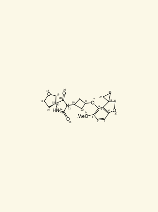 COc1ccc2c(c1OC1CC(N3C(=O)N[C@@]4(CCOC4)C3=O)C1)C1(CC1)CO2